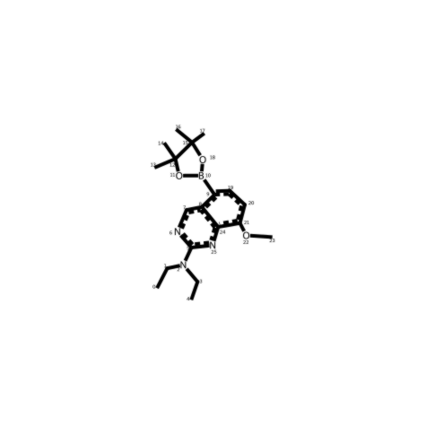 CCN(CC)c1ncc2c(B3OC(C)(C)C(C)(C)O3)ccc(OC)c2n1